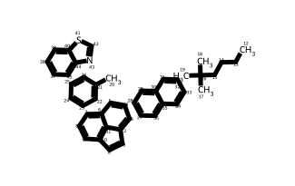 C1=Cc2cccc3cccc1c23.CCCCC(C)(C)C.Cc1ccccc1.c1ccc2ccccc2c1.c1ccc2scnc2c1